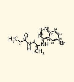 CCC(=O)NCC(C)Nc1ncnc2ccc(Br)cc12